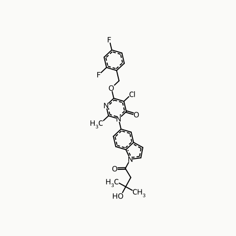 Cc1nc(OCc2ccc(F)cc2F)c(Cl)c(=O)n1-c1ccc2c(ccn2C(=O)CC(C)(C)O)c1